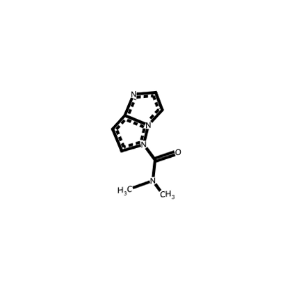 CN(C)C(=O)n1ccc2nccn21